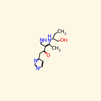 CCC(CO)N/C(C)=C(\C=N)C(=O)Cc1ccncn1